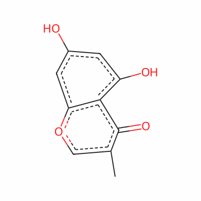 Cc1coc2cc(O)cc(O)c2c1=O